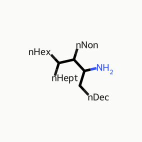 CCCCCCCCCCCC(N)C(CCCCCCCCC)C(CCCCCC)CCCCCCC